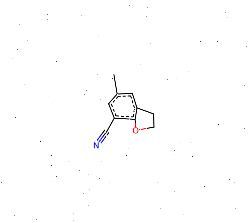 Cc1cc(C#N)c2c(c1)CCO2